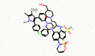 Cc1c(C(=O)O)c(-c2cccc(N3CCN(c4ccc(N5CC=CO[P@@]5(=O)c5ccc(NC(CCN6CCC(CO)CC6)CSc6ccccc6)c(S(=O)(=O)C(F)(F)F)c5)cc4)CC3)c2)c(-c2ccc(Cl)cc2)n1C(C)C